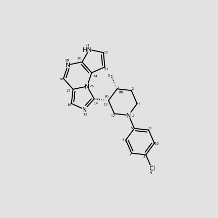 C[C@@H]1CCN(c2[c]cc(Cl)cc2)C[C@@H]1c1ncc2cnc3[nH]ccc3n12